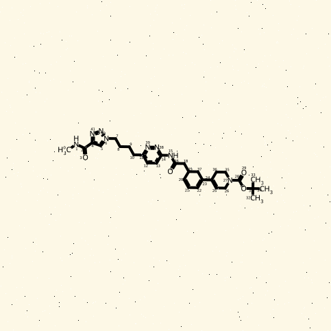 CNC(=O)c1cn(CCCCc2ccc(NC(=O)CC3C=CC=C(C4=CCN(C(=O)OC(C)(C)C)CC4)C3)nn2)nn1